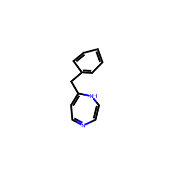 C1=CNC(Cc2ccccc2)=CC=N1